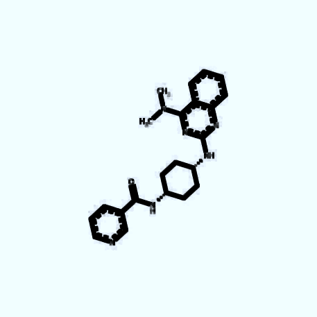 CN(C)c1nc(N[C@H]2CC[C@@H](NC(=O)c3cccnc3)CC2)nc2ccccc12